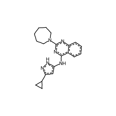 c1ccc2c(Nc3cc(C4CC4)n[nH]3)nc(N3CCCCCC3)nc2c1